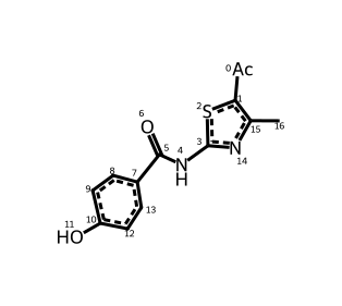 CC(=O)c1sc(NC(=O)c2ccc(O)cc2)nc1C